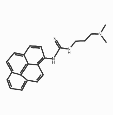 CN(C)CCCNC(=S)Nc1ccc2ccc3cccc4ccc1c2c34